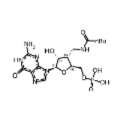 CCCCC(=O)NC[C@H]1[C@@H](O)[C@H](n2cnc3c(=O)[nH]c(N)nc32)O[C@@H]1COP(=O)(O)O